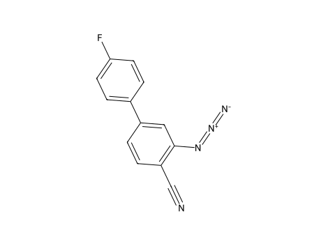 N#Cc1ccc(-c2ccc(F)cc2)cc1N=[N+]=[N-]